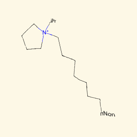 CCCCCCCCCCCCCCCC[N+]1(C(C)C)CCCC1